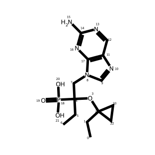 CCC1(OC(CC)(Cn2cnc3cnc(N)nc32)P(=O)(O)O)CC1